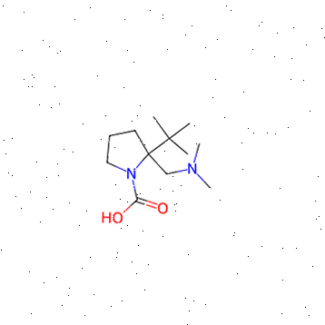 CN(C)CC1(C(C)(C)C)CCCN1C(=O)O